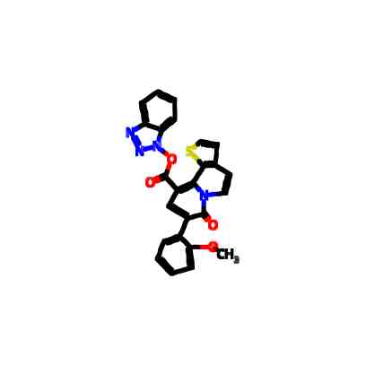 COc1ccccc1-c1cc(C(=O)On2nnc3ccccc32)c2c3sccc3ccn2c1=O